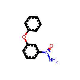 N[N+](=O)c1c[c]cc(Oc2ccccc2)c1